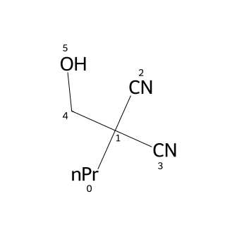 CCCC(C#N)(C#N)CO